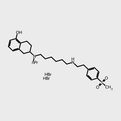 Br.Br.CCCN(CCCCCCNCCc1ccc(S(C)(=O)=O)cc1)C1CCc2c(O)cccc2C1